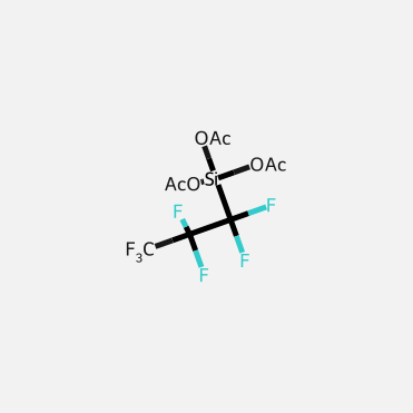 CC(=O)O[Si](OC(C)=O)(OC(C)=O)C(F)(F)C(F)(F)C(F)(F)F